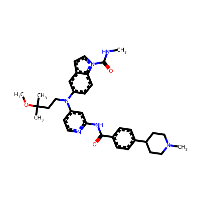 CNC(=O)n1ccc2cc(N(CCC(C)(C)OC)c3ccnc(NC(=O)c4ccc(C5CCN(C)CC5)cc4)c3)ccc21